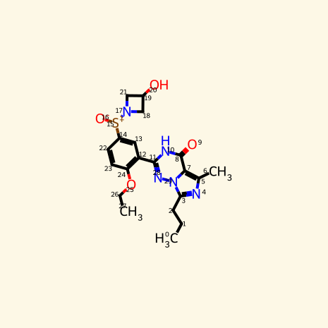 CCCc1nc(C)c2c(=O)[nH]c(-c3cc([S+]([O-])N4CC(O)C4)ccc3OCC)nn12